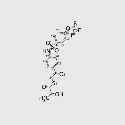 CC(O)C(=O)SCC(=O)c1ccc(NS(=O)(=O)c2ccc(OC(F)(F)F)cc2)cc1